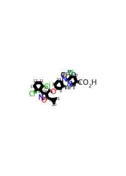 CCCc1cc(OCc2c(-c3c(Cl)cccc3Cl)noc2C2CC2)ccc1N(C=O)c1ncc(C(=O)O)cc1Cl